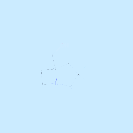 OCC12CCN1CC(F)(F)C2